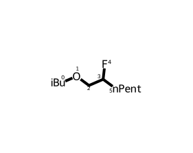 [CH2]C(CC)OCC(F)CCCCC